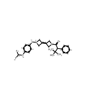 CC(C)(O)C(C(=O)N1CC(=C2CN(Sc3ccc(OC(F)F)cc3)C2)C1)c1ccccc1